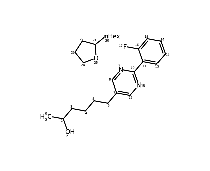 CC(O)CCCCc1cnc(-c2ccccc2F)nc1.CCCCCCC1CCCO1